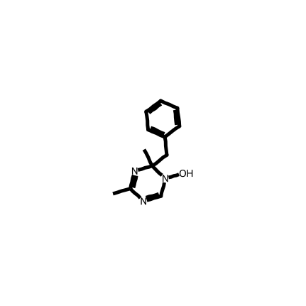 CC1=NC(C)(Cc2ccccc2)N(O)C=N1